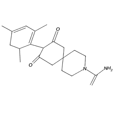 C=C(N)N1CCC2(CC1)CC(=O)C(C1=C(C)C=C(C)CC1C)C(=O)C2